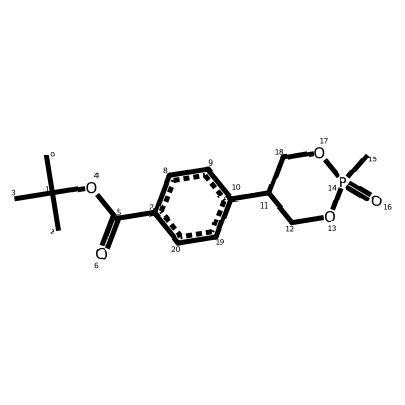 CC(C)(C)OC(=O)c1ccc(C2COP(C)(=O)OC2)cc1